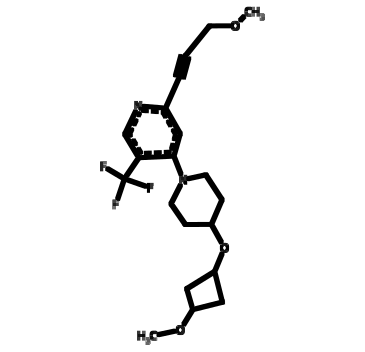 COCC#Cc1cc(N2CCC(OC3CC(OC)C3)CC2)c(C(F)(F)F)cn1